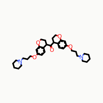 O=C(C1CCOc2cc(OCCCN3CCCCC3)ccc21)C1CCOc2cc(OCCCN3CCCCC3)ccc21